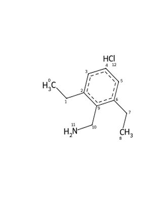 CCc1cccc(CC)c1CN.Cl